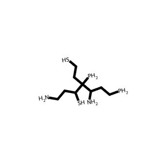 NCCC(S)C(P)(CCS)C(N)CCP